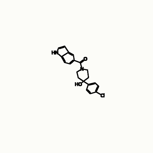 O=C(c1ccc2[nH]ccc2c1)N1CCC(O)(c2ccc(Cl)cc2)CC1